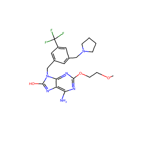 COCCOc1nc(N)c2nc(O)n(Cc3cc(CN4CCCC4)cc(C(F)(F)F)c3)c2n1